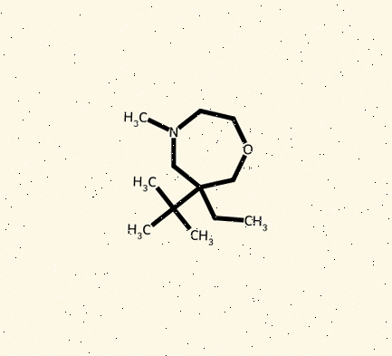 CCC1(C(C)(C)C)COCCN(C)C1